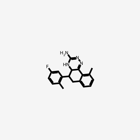 Cc1ccc(F)cc1C1Cc2cccc(C)c2C2=NN=C(N)NC21